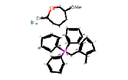 CCC1CCCC(OC)CO1.Cc1ccccc1C[P+](c1ccccc1)(c1ccccc1)c1ccccc1.[Br-]